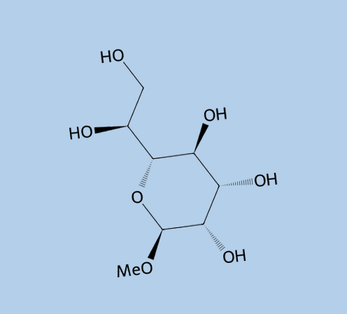 CO[C@H]1O[C@H]([C@@H](O)CO)[C@@H](O)[C@H](O)[C@@H]1O